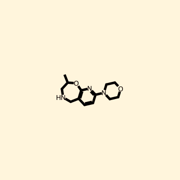 CC1CNCc2ccc(N3CCOCC3)nc2O1